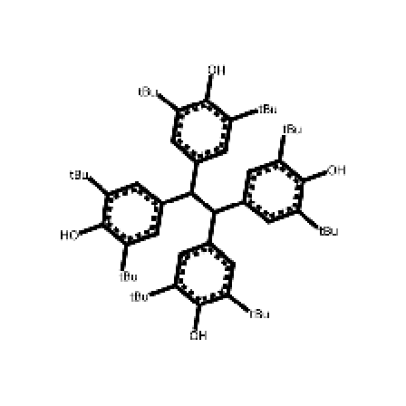 CC(C)(C)c1cc(C(c2cc(C(C)(C)C)c(O)c(C(C)(C)C)c2)C(c2cc(C(C)(C)C)c(O)c(C(C)(C)C)c2)c2cc(C(C)(C)C)c(O)c(C(C)(C)C)c2)cc(C(C)(C)C)c1O